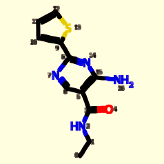 CCNC(=O)c1cnc(-c2cccs2)nc1N